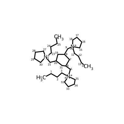 CCCC[N+]1(CC2CC(C[N+]3(CCCC)CCCC3)CC(C[N+]3(CCCC)CCCC3)C2)CCCC1